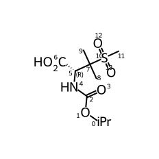 CC(C)OC(=O)N[C@H](C(=O)O)C(C)(C)S(C)(=O)=O